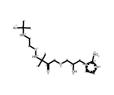 CC(=O)C(C)(C)NCCONC(C)(C)C(=O)COCC(O)Cn1ccnc1[N+](=O)[O-]